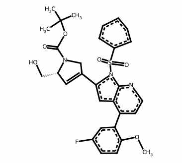 COc1ccc(F)cc1-c1ccnc2c1cc(C1=C[C@H](CO)N(C(=O)OC(C)(C)C)C1)n2S(=O)(=O)c1ccccc1